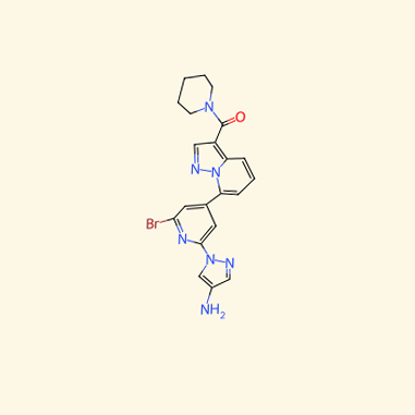 Nc1cnn(-c2cc(-c3cccc4c(C(=O)N5CCCCC5)cnn34)cc(Br)n2)c1